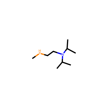 CPCCN(C(C)C)C(C)C